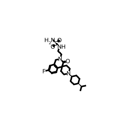 CC(C)[C@H]1CC[C@@H](N2CCC3(CC2)C(=O)N(CCNS(N)(=O)=O)Cc2cc(F)ccc23)CC1